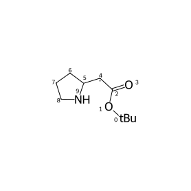 CC(C)(C)OC(=O)[CH]C1CCCN1